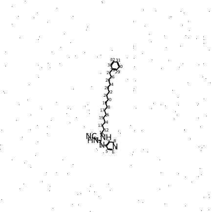 N#CNC(=Nc1ccncc1)NCCCCCCCCCCCCCCCCCc1ccccc1